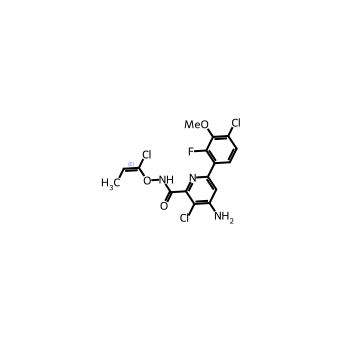 C/C=C(/Cl)ONC(=O)c1nc(-c2ccc(Cl)c(OC)c2F)cc(N)c1Cl